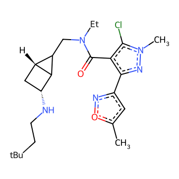 CCN(CC1C2[C@@H]1C[C@H]2NCCC(C)(C)C)C(=O)c1c(-c2cc(C)on2)nn(C)c1Cl